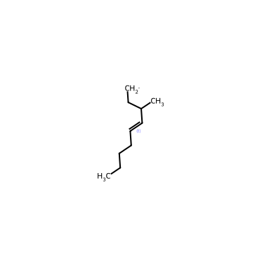 [CH2]CC(C)/C=C/CCCC